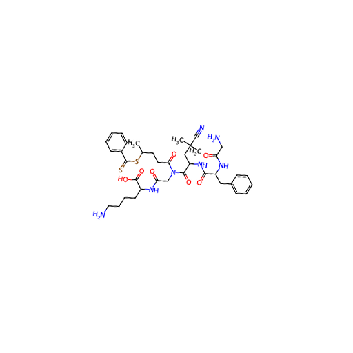 CC(CCC(=O)N(CC(=O)NC(CCCCN)C(=O)O)C(=O)C(CC(C)(C)C#N)NC(=O)C(Cc1ccccc1)NC(=O)CN)SC(=S)c1ccccc1